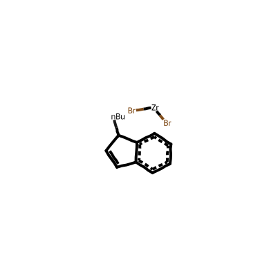 CCCC[C]1C=Cc2ccccc21.[Br][Zr][Br]